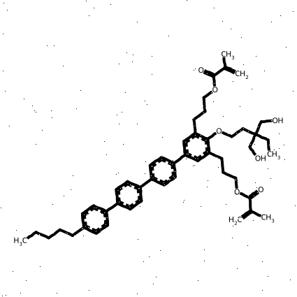 C=C(C)C(=O)OCCCc1cc(-c2ccc(-c3ccc(-c4ccc(CCCCC)cc4)cc3)cc2)cc(CCCOC(=O)C(=C)C)c1OCCC(CC)(CO)CO